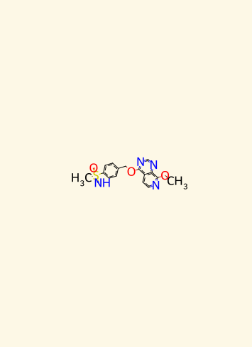 COc1nccc2c(OCc3ccc(S(C)(=N)=O)cc3)ncnc12